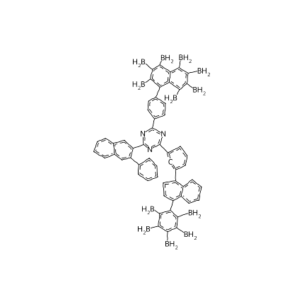 Bc1c(B)c(B)c(-c2ccc(-c3cccc(-c4nc(-c5ccc(-c6c(B)c(B)c(B)c7c(B)c(B)c(B)c(B)c67)cc5)nc(-c5cc6ccccc6cc5-c5ccccc5)n4)c3)c3ccccc23)c(B)c1B